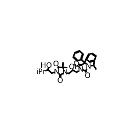 CC(C)C(O)CN1C(=O)N(CC(O)CN2C(=O)N3C(C)c4cccc(c4)C3(c3ccccc3)C2=O)C(C)(C)C1=O